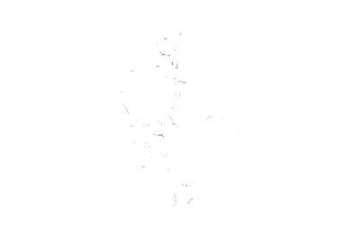 CN(C)C(=O)O[C@@H]1C[C@H]2C(=O)N[C@]3(C(=O)N4CCC[C@H]4C(=O)NCc4ccccc4)C[C@H]3/C=C\CCCCC[C@H](NC(=O)OC(C)(C)C)C(=O)N2C1